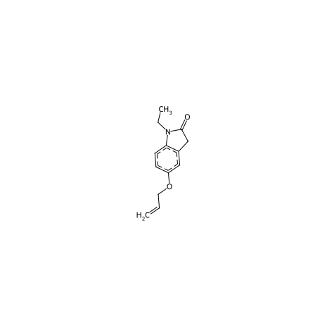 C=CCOc1ccc2c(c1)CC(=O)N2CC